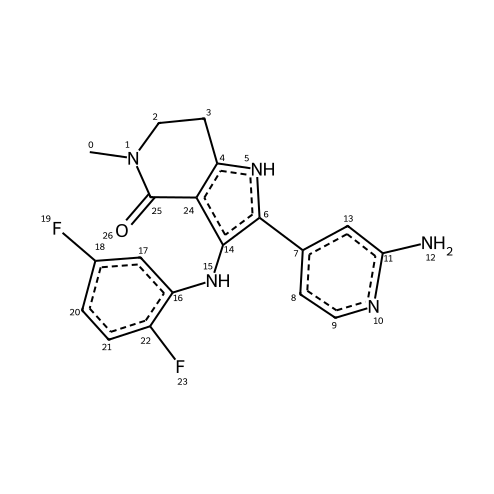 CN1CCc2[nH]c(-c3ccnc(N)c3)c(Nc3cc(F)ccc3F)c2C1=O